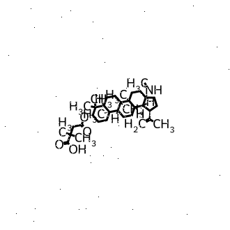 C=C(C)[C@@H]1CC[C@]2(NC)CC[C@]3(C)[C@H](CC[C@@H]4[C@@]5(C)CC[C@H](OC(=O)CC(C)(C)C(=O)O)C(C)(C)[C@@H]5CC[C@]43C)[C@@H]12